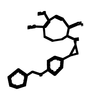 C=C1/C=C\C(OC)=C(\OC)CCCC1N[C@H]1CC1c1ccc(OCc2ccccc2)cc1